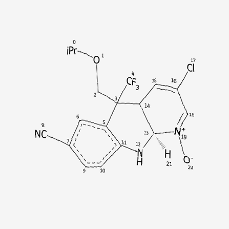 CC(C)OCC1(C(F)(F)F)c2cc(C#N)ccc2N[C@H]2C1C=C(Cl)C=[N+]2[O-]